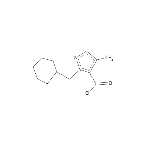 O=C(Cl)c1c(C(F)(F)F)cnn1CC1CCCCC1